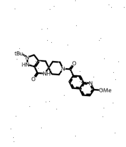 COc1ccc2ccc(C(=O)N3CCC4(CC3)CC3=C(NN(C(C)(C)C)C3)C(=O)N4)cc2n1